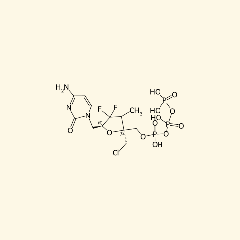 CC1C(F)(F)[C@H](Cn2ccc(N)nc2=O)O[C@]1(CCl)COP(=O)(O)OP(=O)(O)OP(=O)(O)O